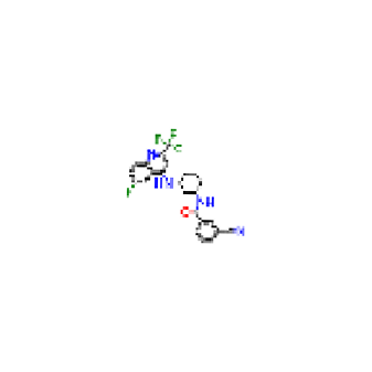 N#Cc1cccc(C(=O)N[C@@H]2CCC[C@H](Nc3cc(C(F)(F)F)nc4ccc(F)cc34)C2)c1